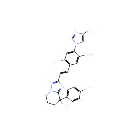 COc1cc(C=Cc2nc3n(n2)CCCC3(O)c2ccc(F)cc2)c(F)cc1-n1cnc(C)c1